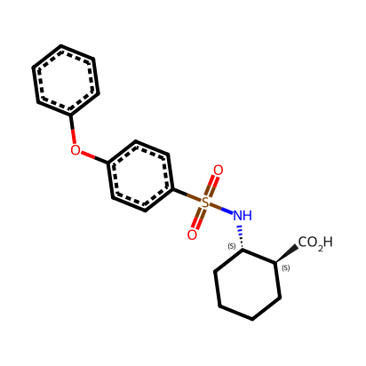 O=C(O)[C@H]1CCCC[C@@H]1NS(=O)(=O)c1ccc(Oc2ccccc2)cc1